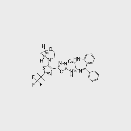 CC(C)(c1nc(-c2nnc(N[C@H]3N=C(c4ccccc4)c4ccccc4NC3=O)o2)c(N2CCO[C@H]3C[C@H]32)s1)C(F)(F)F